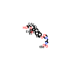 CC[Si](CC)(CC)O[C@H]1[C@H]2O[C@@H]([C@H](OC(C)=O)C(C)(C)O)C[C@@H](C)[C@@H]2[C@@]2(C)CC[C@@]34CC35CC[C@H](O[C@H]3CN(CC6CN(C(=O)OC(C)(C)C)C6)CCO3)C(C)(C)[C@@H]5CC[C@H]4[C@]12C